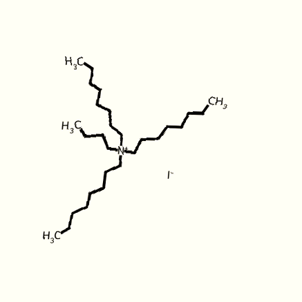 CCCCCCCC[N+](CCCC)(CCCCCCCC)CCCCCCCC.[I-]